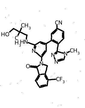 Cn1cnnc1-c1ccc(C#N)cc1-c1cc(NCC(C)(C)CO)nc(N2Cc3c(cccc3C(F)(F)F)C2=O)c1